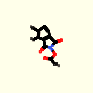 [2H]c1ccc2c(c1[2H])C(=O)N(OC(C)=O)C2=O